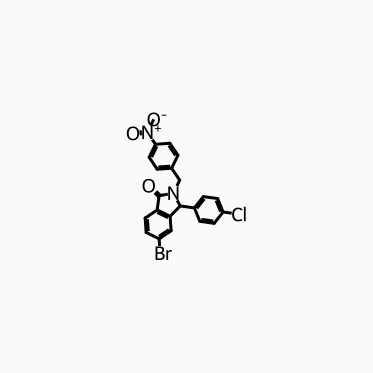 O=C1c2ccc(Br)cc2C(c2ccc(Cl)cc2)N1Cc1ccc([N+](=O)[O-])cc1